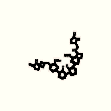 COc1nc(-c2cccc(-c3cccc(-c4cc5c(c(OC)n4)C(NCC4CCC(=O)N4)CC5)c3F)c2F)cnc1CN1CC2(CCC(=O)N2)C1